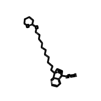 CCCCCC12C=CC(CCCCCCCCCCCOC3CCCCO3)(O1)c1ccccc12